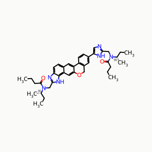 CCCC(=O)N(Cc1ncc(-c2ccc3c(c2)COc2cc4c(ccc5nc(CN(C(=O)CCC)[C@@H](C)CC)[nH]c54)cc2-3)[nH]1)[C@@H](C)CC